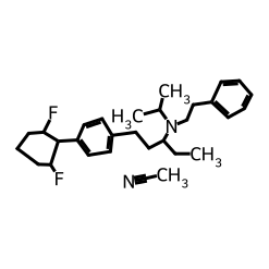 CC#N.CCC(CCc1ccc(C2C(F)CCCC2F)cc1)N(CCc1ccccc1)C(C)C